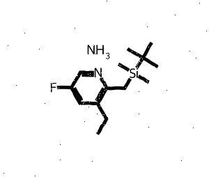 CCc1cc(F)cnc1C[Si](C)(C)C(C)(C)C.N